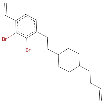 C=CCCC1CCC(CCc2ccc(C=C)c(Br)c2Br)CC1